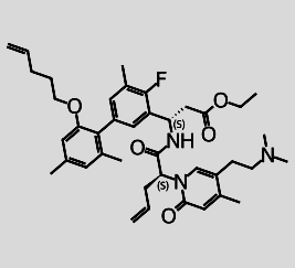 C=CCCCOc1cc(C)cc(C)c1-c1cc(C)c(F)c([C@H](CC(=O)OCC)NC(=O)[C@H](CC=C)n2cc(CCN(C)C)c(C)cc2=O)c1